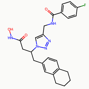 O=C(CC(Cc1ccc2c(c1)CCCC2)n1cc(CNC(=O)c2ccc(F)cc2)nn1)NO